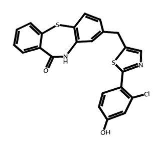 O=C1Nc2cc(Cc3cnc(-c4ccc(O)cc4Cl)s3)ccc2Sc2ccccc21